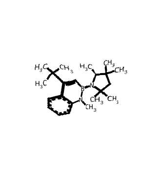 C[C@@H]1N(B2C=C(C(C)(C)C)c3ccccc3N2C)C(C)(C)CC1(C)C